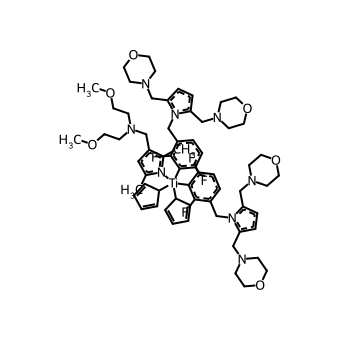 COCCN(CCOC)Cc1cc(C)[n]([Ti]([c]2c(F)ccc(Cn3c(CN4CCOCC4)ccc3CN3CCOCC3)c2F)([c]2c(F)ccc(Cn3c(CN4CCOCC4)ccc3CN3CCOCC3)c2F)([CH]2C=CC=C2)[CH]2C=CC=C2)c1C